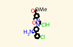 COC(=O)c1ccc(N2CCN([C@H]3CC[C@@](CN)(c4cccc(Cl)c4)CC3)C2=O)c(C)c1.Cl